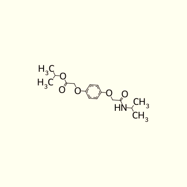 CC(C)NC(=O)COc1ccc(OCC(=O)OC(C)C)cc1